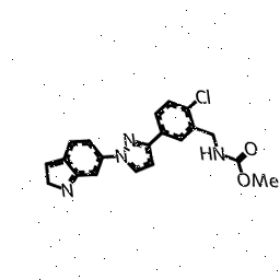 COC(=O)NCc1cc(-c2ccn(-c3ccc4c(c3)=NCC=4)n2)ccc1Cl